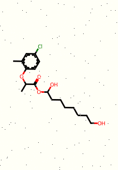 Cc1cc(Cl)ccc1OC(C)C(=O)OC(O)CCCCCCCO